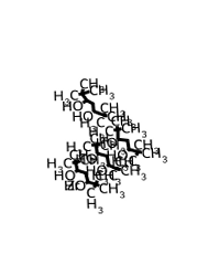 CC(C)(C)C(O)CC(O)C(C)(C)C.CC(C)(C)C(O)CC(O)C(C)(C)C.CC(C)(C)C(O)CC(O)C(C)(C)C.CC(C)(C)C(O)CC(O)C(C)(C)C.[Zr]